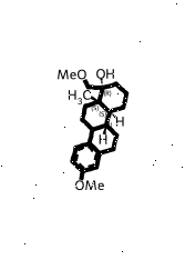 COC[C@@]1(O)CCC[C@H]2[C@@H]3CCc4cc(OC)ccc4C3CC[C@@]21C